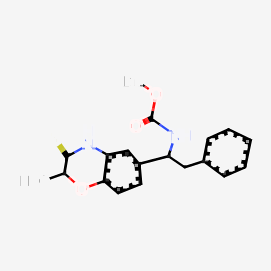 CC1Oc2ccc(C(Cc3ccccc3)NC(=O)OC(C)(C)C)cc2NC1=S